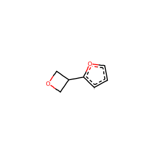 [c]1ccoc1C1COC1